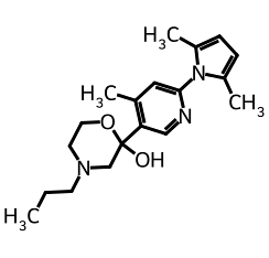 CCCN1CCOC(O)(c2cnc(-n3c(C)ccc3C)cc2C)C1